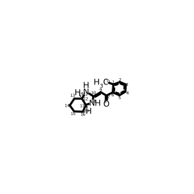 Cc1ccccc1C(=O)C=C1N[C@@H]2CCCC[C@H]2N1